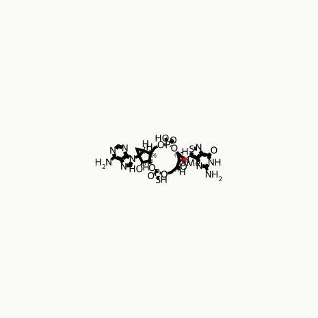 CO[C@H]1[C@H]2OP(=O)(O)OC[C@@H]3[C@@H](OP(=O)(S)OC[C@H]1O[C@H]2c1snc2c(=O)[nH]c(N)nc12)[C@@H](O)C1(n2cnc4c(N)ncnc42)C[C@@H]31